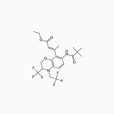 CCOC(=O)C=C(C)c1c(NC(=O)C(C)(C)C)ccc2c1OCC(C(F)(F)F)N2CC(F)(F)F